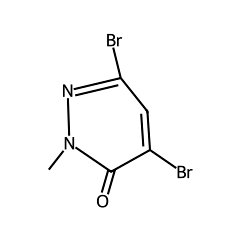 Cn1nc(Br)cc(Br)c1=O